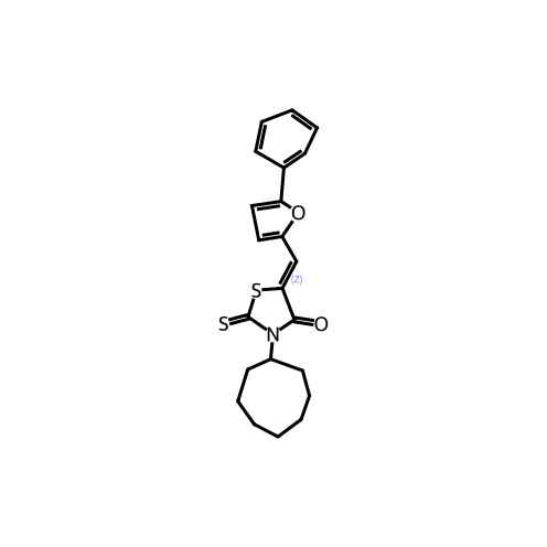 O=C1/C(=C/c2ccc(-c3ccccc3)o2)SC(=S)N1C1CCCCCCC1